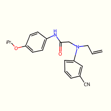 C=CCN(CC(=O)Nc1ccc(OC(C)C)cc1)c1cccc(C#N)c1